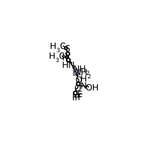 CCn1c2ccc(CNCC/C(N)=C/N(N)CCCOc3ccc(OCc4ccc(F)c(C(F)(F)F)c4)c(CNCCO)c3)cc2c2ccc(-c3cc(C)cs3)cc21